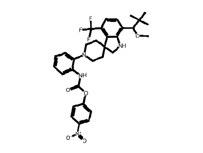 COC(c1ccc(C(F)(F)F)c2c1NCC21CCN(c2ccccc2NC(=O)Oc2ccc([N+](=O)[O-])cc2)CC1)C(C)(C)C